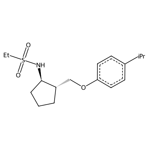 CCS(=O)(=O)N[C@@H]1CCC[C@H]1COc1ccc(C(C)C)cc1